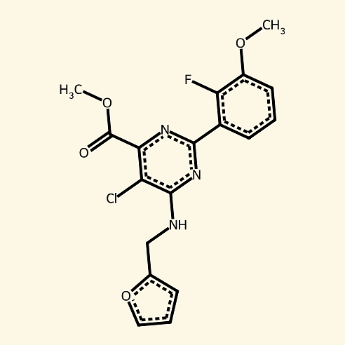 COC(=O)c1nc(-c2cccc(OC)c2F)nc(NCc2ccco2)c1Cl